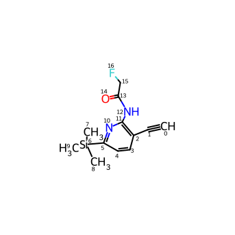 C#Cc1ccc([Si](C)(C)C)nc1NC(=O)CF